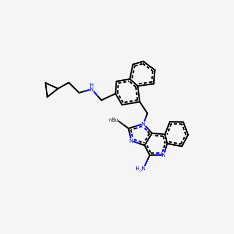 CCCCc1nc2c(N)nc3ccccc3c2n1Cc1cc(CNCCC2CC2)cc2ccccc12